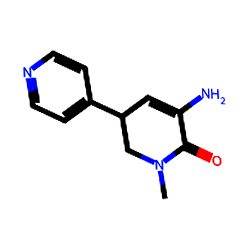 CN1CC(c2ccncc2)C=C(N)C1=O